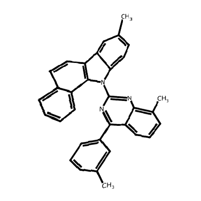 Cc1cccc(-c2nc(-n3c4ccc(C)cc4c4ccc5ccccc5c43)nc3c(C)cccc23)c1